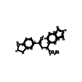 CCOC(=O)C(CC(=O)c1ccc2c(c1)CCO2)c1ccc2nsnc2c1